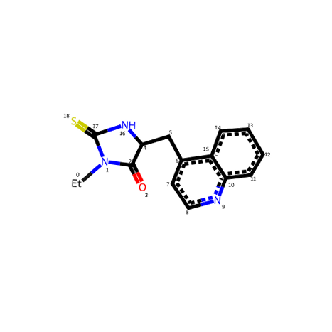 CCN1C(=O)C(Cc2ccnc3ccccc23)NC1=S